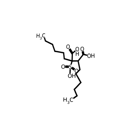 CCCCCCC(C(=O)O)C(CCCCCC)(C(=O)O)S(=O)(=O)O